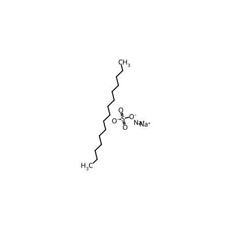 CCCCCCCCCCCCCCC.O=S(=O)([O-])[O-].[Na+].[Na+]